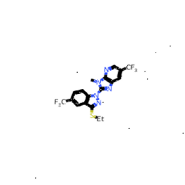 CCSc1nn(-c2nc3cc(C(F)(F)F)cnc3n2C)c2ccc(C(F)(F)F)cc12